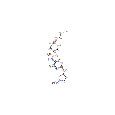 CCCN1CCC(Oc2ccc(NS(=O)(=O)c3ccc(OCCF)cc3)c(C)n2)C1